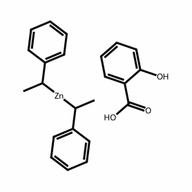 C[CH]([Zn][CH](C)c1ccccc1)c1ccccc1.O=C(O)c1ccccc1O